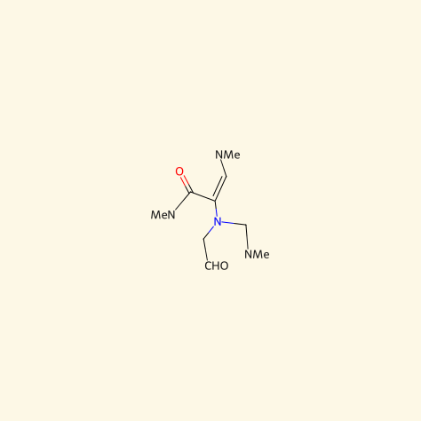 CN/C=C(\C(=O)NC)N(CC=O)CNC